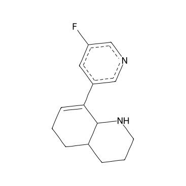 Fc1cncc(C2=CCCC3CCCNC23)c1